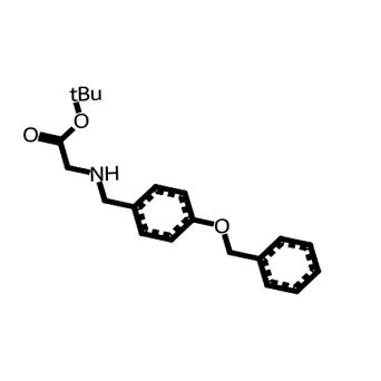 CC(C)(C)OC(=O)CNCc1ccc(OCc2ccccc2)cc1